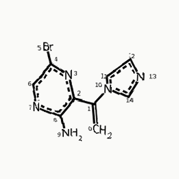 C=C(c1nc(Br)cnc1N)n1ccnc1